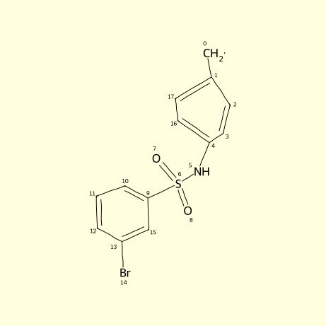 [CH2]c1ccc(NS(=O)(=O)c2cccc(Br)c2)cc1